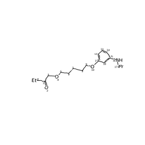 CCC(=O)COCCCCCOc1cccc(NC(C)C)c1